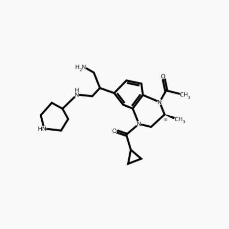 CC(=O)N1c2ccc(C(CN)CNC3CCNCC3)cc2N(C(=O)C2CC2)C[C@@H]1C